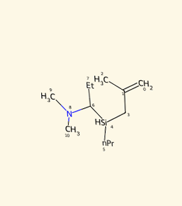 C=C(C)C[SiH](CCC)C(CC)N(C)C